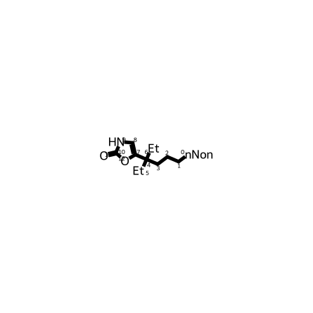 CCCCCCCCCCCCC(CC)(CC)c1c[nH]c(=O)o1